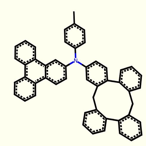 Cc1ccc(N(c2ccc3c(c2)Cc2ccccc2-c2ccccc2Cc2ccccc2-3)c2ccc3c4ccccc4c4ccccc4c3c2)cc1